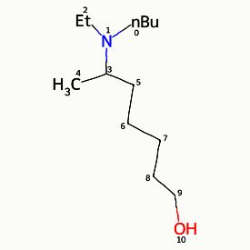 CCCCN(CC)C(C)CCCCCO